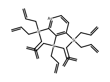 C=CC[Si](CC=C)(CC=C)C1=[As]C=CC([Si](CC=C)(CC=C)CC=C)=C1[Si](CC=C)(CC=C)CC=C